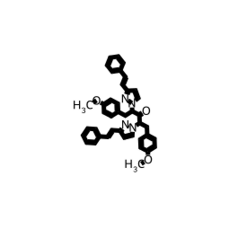 COc1ccc(CC(C(=O)C(Cc2ccc(OC)cc2)n2ccc(/C=C/c3ccccc3)n2)n2ccc(/C=C/c3ccccc3)n2)cc1